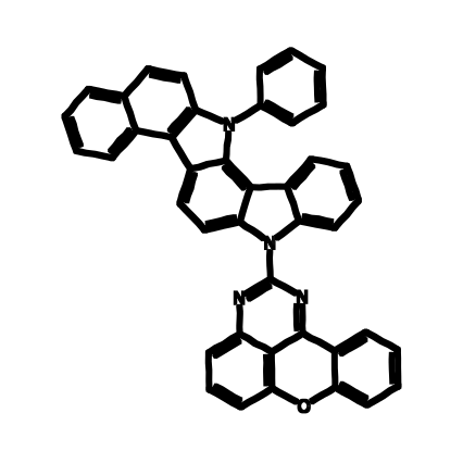 c1ccc(-n2c3ccc4ccccc4c3c3ccc4c(c5ccccc5n4-c4nc5c6c(cccc6n4)Oc4ccccc4-5)c32)cc1